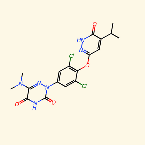 CC(C)c1cc(Oc2c(Cl)cc(-n3nc(N(C)C)c(=O)[nH]c3=O)cc2Cl)n[nH]c1=O